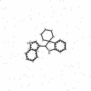 c1ccc2c(c1)NC(c1c[nH]c3ccccc13)C21CCCCC1